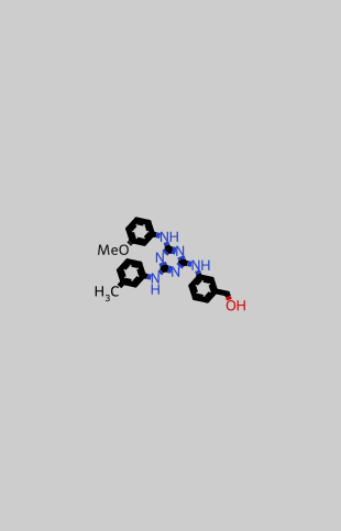 COc1cccc(Nc2nc(Nc3cccc(C)c3)nc(Nc3cccc(CO)c3)n2)c1